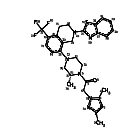 Cc1cc(C)n(CC(=O)N2CCN(c3ccc(C(F)(F)F)c4c3CN(c3nc5ccccc5s3)CC4)C[C@H]2C)n1